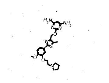 COc1ccc(-c2nc(COc3nc(N)cc(N)n3)c(C)s2)cc1OCCN1CCCC1